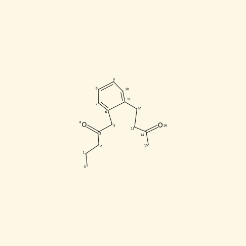 CCCC(=O)Cc1ccccc1CCC(C)=O